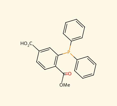 COC(=O)c1ccc(C(=O)O)cc1P(c1ccccc1)c1ccccc1